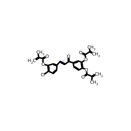 C=C(C)C(=O)Oc1cc(/C=C/C(=O)c2ccc(OC(=O)C(=C)C)c(OC(=O)C(=C)C)c2)ccc1Cl